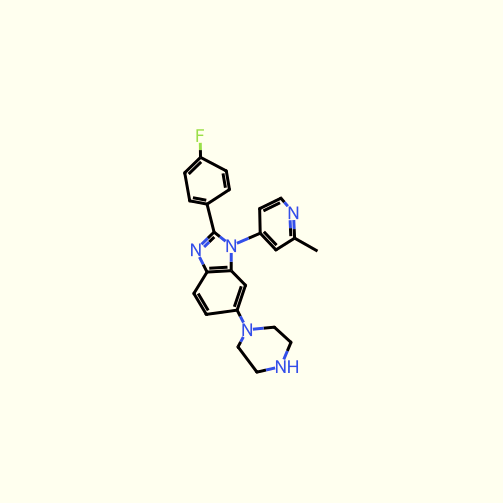 Cc1cc(-n2c(-c3ccc(F)cc3)nc3ccc(N4CCNCC4)cc32)ccn1